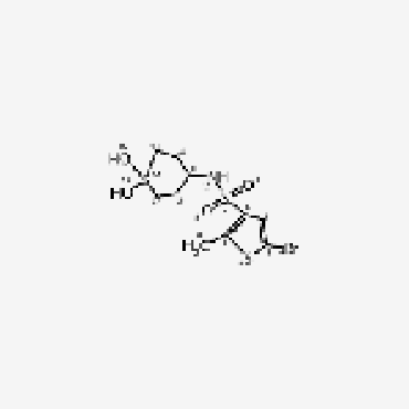 Cc1sc(Br)cc1S(=O)(=O)NC1CCS(O)(O)CC1